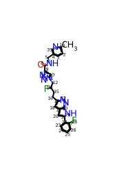 Cc1ccc(CNC(=O)c2cn(CC(F)CCc3cc4cc(-c5ccccc5F)[nH]c4nn3)nn2)cn1